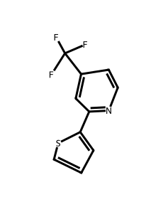 FC(F)(F)c1ccnc(-c2cccs2)c1